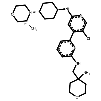 C[C@@H]1COCCN1[C@H]1CC[C@H](Nc2cc(-c3cccc(NCC4(N)CCOCC4)n3)c(Cl)cn2)CC1